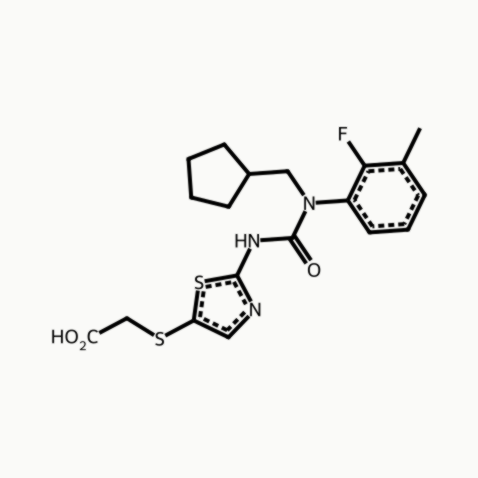 Cc1cccc(N(CC2CCCC2)C(=O)Nc2ncc(SCC(=O)O)s2)c1F